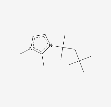 Cc1n(C(C)(C)CC(C)(C)C)cc[n+]1C